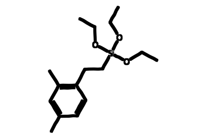 CCO[Si](CCc1ccc(C)cc1C)(OCC)OCC